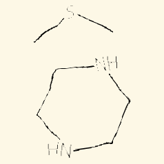 C1CNCCN1.CSC